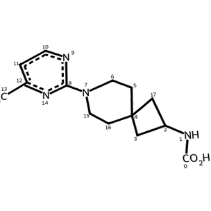 O=C(O)NC1CC2(CCN(c3nccc(C(F)(F)F)n3)CC2)C1